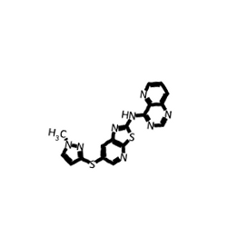 Cn1ccc(Sc2cnc3sc(Nc4ncnc5cccnc45)nc3c2)n1